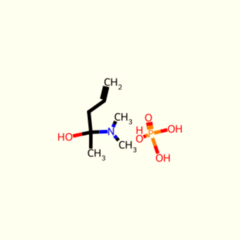 C=CCC(C)(O)N(C)C.O=P(O)(O)O